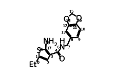 CCc1cc(C(=O)NCc2ccc3c(c2)OCO3)c(N)s1